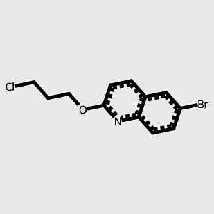 ClCCCOc1ccc2cc(Br)ccc2n1